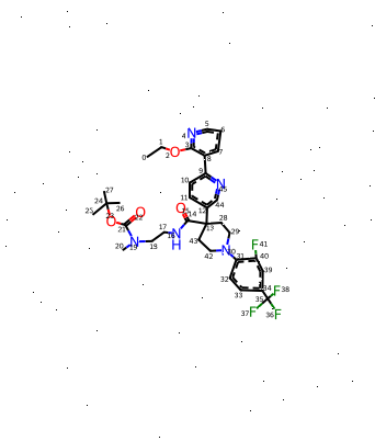 CCOc1ncccc1-c1ccc(C2(C(=O)NCCN(C)C(=O)OC(C)(C)C)CCN(c3ccc(C(F)(F)F)cc3F)CC2)cn1